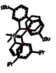 CC(C)c1cc([C](C2CCCCC2)=[Hf]([CH3])([CH3])([CH]2C=CC=C2)[CH]2c3cc(C(C)(C)C)ccc3-c3ccc(C(C)(C)C)cc32)cc(C(C)C)c1